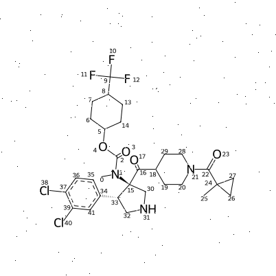 CN(C(=O)OC1CCC(C(F)(F)F)CC1)[C@@]1(C(=O)C2CCN(C(=O)C3(C)CC3)CC2)CNC[C@@H]1c1ccc(Cl)c(Cl)c1